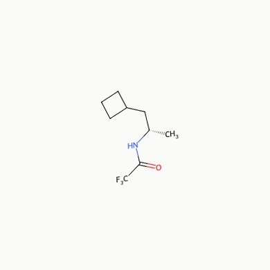 C[C@@H](CC1CCC1)NC(=O)C(F)(F)F